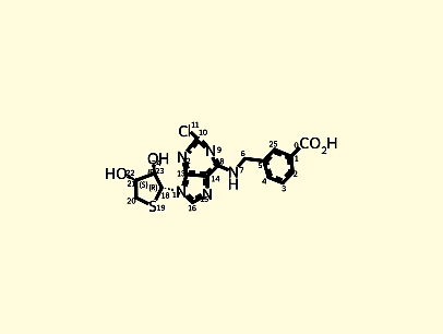 O=C(O)c1cccc(CNc2nc(Cl)nc3c2ncn3[C@@H]2SC[C@@H](O)[C@H]2O)c1